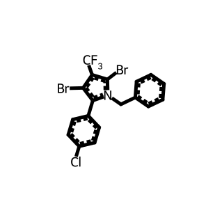 FC(F)(F)c1c(Br)c(-c2ccc(Cl)cc2)n(Cc2ccccc2)c1Br